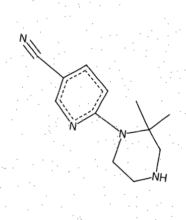 CC1(C)CNCCN1c1ccc(C#N)cn1